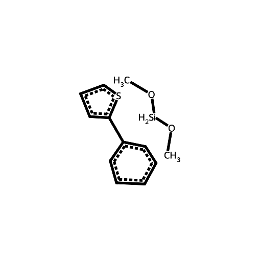 CO[SiH2]OC.c1ccc(-c2cccs2)cc1